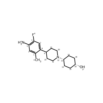 Cc1cc(N)c(F)cc1C1CCN([C@H]2CC[C@@H](O)CC2)CC1